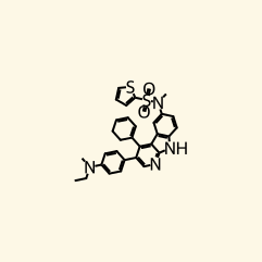 CCN(C)c1ccc(-c2cnc3[nH]c4ccc(N(C)S(=O)(=O)c5cccs5)cc4c3c2C2=CC=CCC2)cc1